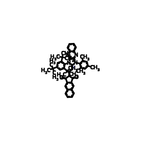 Cc1cc(C)c(N2/C(=C/C=C3C(=O)c4cc5ccccc5cc4C3=O)N(c3c(C(C)(C)C)cc(C(C)(C)C)cc3C(C)(C)C)c3nc4ccccc4nc32)c(C)c1